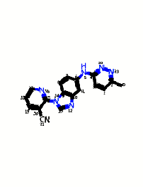 Cc1ccc(Nc2ccc3c(c2)ncn3-c2ncccc2C#N)nn1